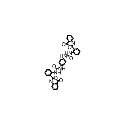 O=C(Nc1ccc(NC(=O)Nc2ccccc2-c2nc3ccccc3c(=O)o2)cc1)Nc1ccccc1-c1nc2ccccc2c(=O)o1